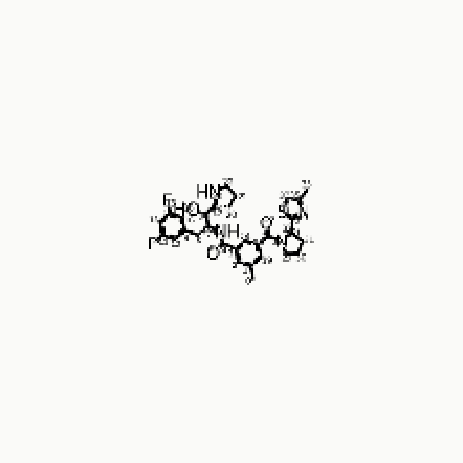 Cc1cc(C(=O)N[C@@H](Cc2cc(F)cc(F)c2)[C@H](O)[C@H]2CCCN2)cc(C(=O)N2CCC[C@@H]2c2nc(C)cs2)c1